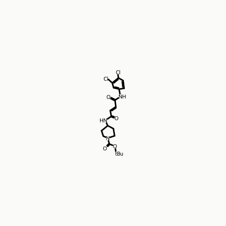 CC(C)(C)OC(=O)N1CCC(NC(=O)C=CC(=O)Nc2ccc(Cl)c(Cl)c2)CC1